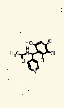 CC(=O)NC(c1ccncc1)c1c(O)cc(Cl)c(Cl)c1Cl